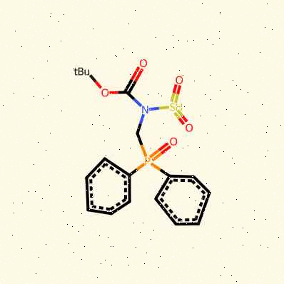 CC(C)(C)OC(=O)N(CP(=O)(c1ccccc1)c1ccccc1)[SH](=O)=O